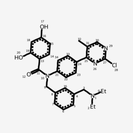 CCN(CC)Cc1cccc(CN(C(=O)c2ccc(O)cc2O)c2ccc(-c3nc(Cl)ncc3C)cc2)c1